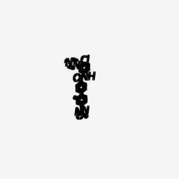 Cc1nc(-c2ccc(-c3ccc(C(=O)Nc4ccc(Cl)c(N5CCN(C)CC5)c4)cc3)c(C)c2)no1